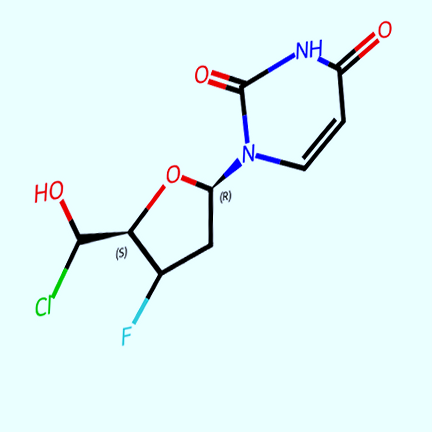 O=c1ccn([C@H]2CC(F)[C@@H](C(O)Cl)O2)c(=O)[nH]1